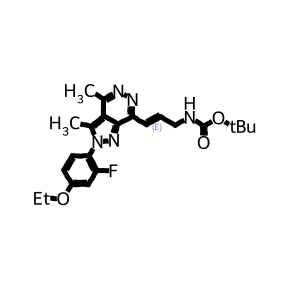 CCOc1ccc(-n2nc3c(/C=C/CNC(=O)OC(C)(C)C)nnc(C)c3c2C)c(F)c1